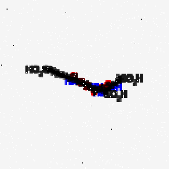 C[C@@H](CCCCNC(=O)CC[C@H](NC(=O)CCC(=O)NCCOCCOCCNC(=O)CCCCCCCCCCCCC(=O)O)C(=O)O)C(=O)O